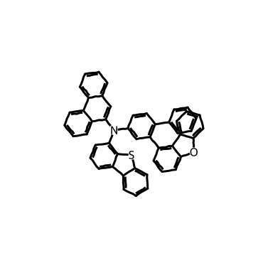 c1ccc(-c2ccc(N(c3cc4ccccc4c4ccccc34)c3cccc4c3sc3ccccc34)cc2-c2cccc3oc4ccccc4c23)cc1